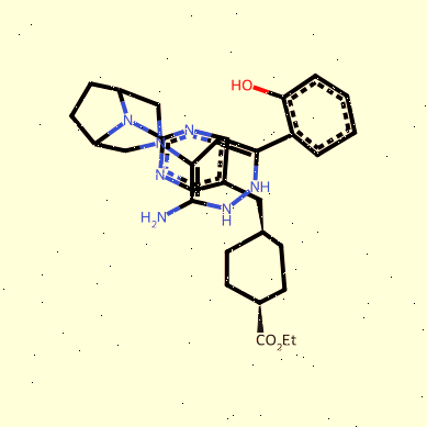 CCOC(=O)[C@H]1CC[C@@H](Cc2cnc(N3C4CCC3CN(C3=C(N)NNC(c5ccccc5O)=C3)C4)nc2)CC1